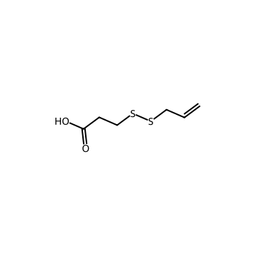 C=CCSSCCC(=O)O